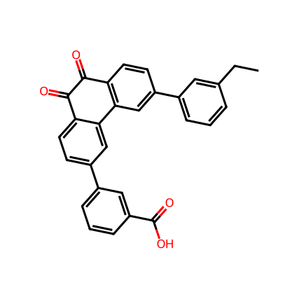 CCc1cccc(-c2ccc3c(c2)-c2cc(-c4cccc(C(=O)O)c4)ccc2C(=O)C3=O)c1